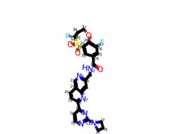 O=C(NCc1cc2nc(-c3ccnc(N4CCC4)n3)ccc2cn1)c1cc(F)c2c(c1)S(=O)(=O)[C@@H](F)CCO2